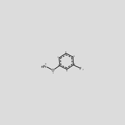 CCCOc1cc[c]c(F)c1